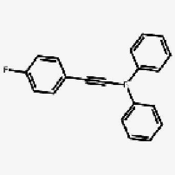 Fc1ccc(C#CB(c2ccccc2)c2ccccc2)cc1